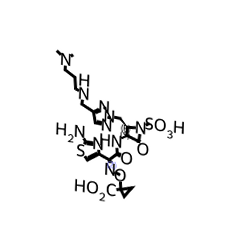 CN(C)CCCNCc1cnn(C[C@@H]2[C@H](NC(=O)/C(=N\OC3(C(=O)O)CC3)c3csc(N)n3)C(=O)N2S(=O)(=O)O)n1